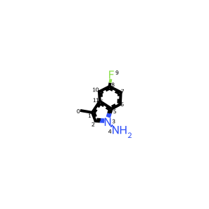 Cc1cn(N)c2ccc(F)cc12